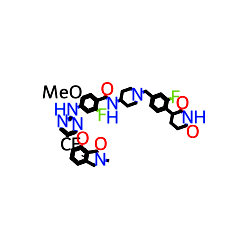 COc1cc(C(=O)NC2CCN(Cc3ccc(C4CCC(=O)NC4=O)c(F)c3)CC2)c(F)cc1Nc1ncc(C(F)(F)F)c(Oc2cccc3c2C(=O)N(C)C3)n1